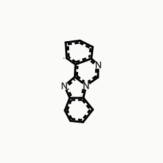 [c]1cccc2ncn3c4ccccc4nc3c12